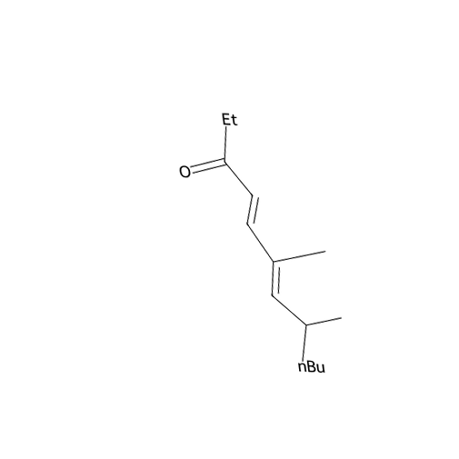 CCCCC(C)/C=C(C)/C=C/C(=O)CC